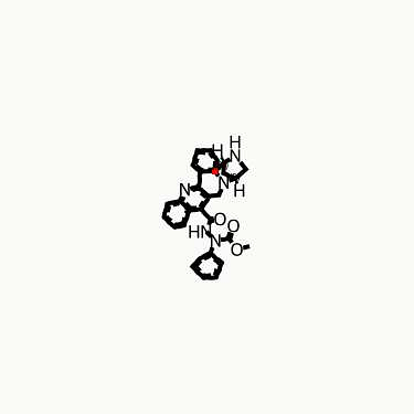 COC(=O)N(NC(=O)c1c(CN2C[C@H]3C[C@@H]2CN3)c(-c2ccccc2)nc2ccccc12)c1ccccc1